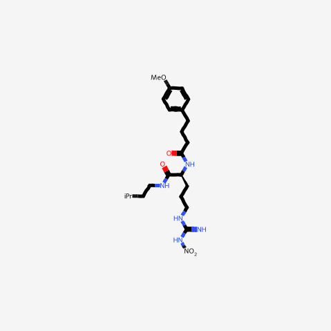 COc1ccc(CCCC(=O)N[C@@H](CCCNC(=N)N[N+](=O)[O-])C(=O)N[CH]CC(C)C)cc1